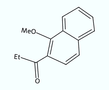 CCC(=O)c1ccc2ccccc2c1OC